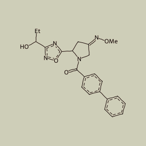 CCC(O)c1noc(C2CC(=NOC)CN2C(=O)c2ccc(-c3ccccc3)cc2)n1